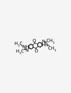 CCNC(C)=Nc1ccc2c(c1)C(=O)c1ccc(N=C(C)NCC)cc1C2=O